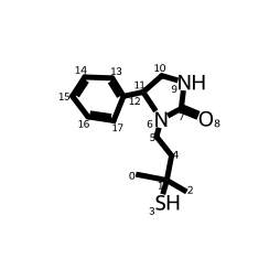 CC(C)(S)CCN1C(=O)NCC1c1ccccc1